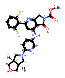 CC(C)(C)OC(=O)N1Cc2nc(-c3c(F)cccc3F)cc(Nc3ccc(N4C[C@H]5COC[C@H]5C4)nc3)c2C1=O